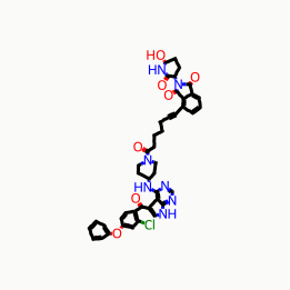 O=C(c1ccc(Oc2ccccc2)cc1Cl)c1c[nH]c2ncnc(NC3CCN(C(=O)CCCCC#Cc4cccc5c4C(=O)N(C4CCC(O)NC4=O)C5=O)CC3)c12